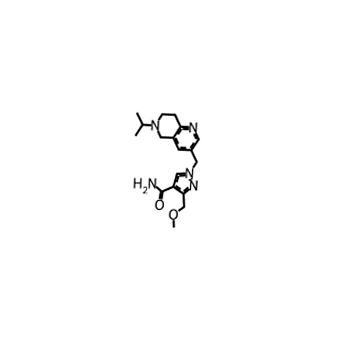 COCc1nn(Cc2cnc3c(c2)CN(C(C)C)CC3)cc1C(N)=O